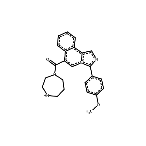 COc1ccc(-c2ncc3c4ccccc4c(C(=O)N4CCCNCC4)cn23)cc1